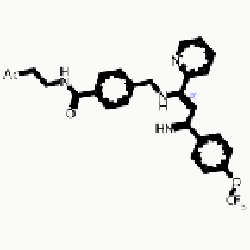 CC(=O)CCNC(=O)c1ccc(CN/C(=C\C(=N)c2ccc(OC(F)(F)F)cc2)c2ccccn2)cc1